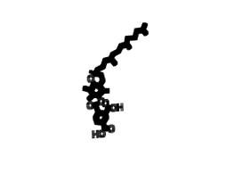 CC(C)=CCC/C(C)=C/CC/C(C)=C/CC[C@]1(C)CCc2c(C)c(OC(=O)c3ccc(C(=O)O)cc3C(=O)O)c(C)c(C)c2O1